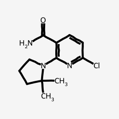 CC1(C)CCCN1c1nc(Cl)ccc1C(N)=O